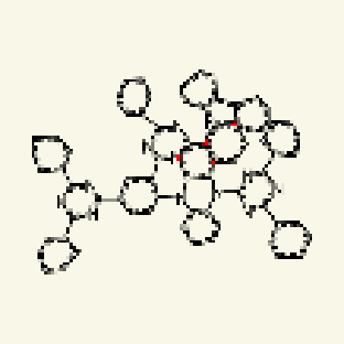 c1ccc(-c2nc(-c3ccccc3)nc(-c3ccc(N4c5ccccc5N(c5nc(-c6ccccc6)nc(-c6ccccc6)n5)c5cc(-n6c7ccccc7c7ccccc76)ccc54)c(-c4nc(-c5ccccc5)nc(-c5ccccc5)n4)c3)n2)cc1